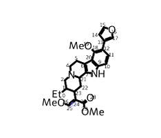 CCC1CN2CCc3c([nH]c4ccc(-c5ccoc5)c(OC)c34)C2CC1/C(=C\OC)C(=O)OC